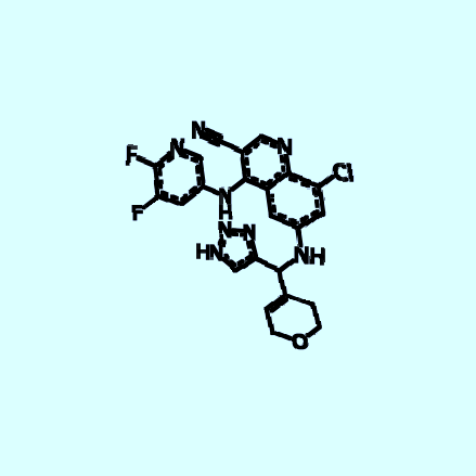 N#Cc1cnc2c(Cl)cc(NC(C3=CCOCC3)c3c[nH]nn3)cc2c1Nc1cnc(F)c(F)c1